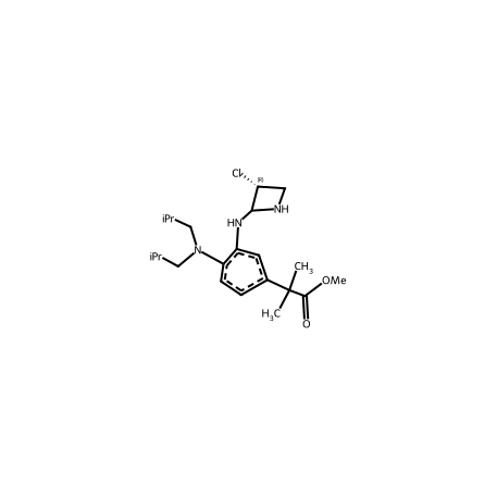 COC(=O)C(C)(C)c1ccc(N(CC(C)C)CC(C)C)c(NC2NC[C@H]2Cl)c1